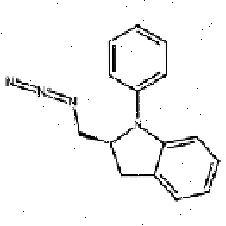 [N-]=[N+]=NC[C@@H]1Cc2ccccc2N1c1ccccc1